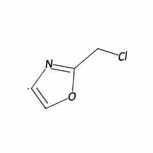 ClCc1n[c]co1